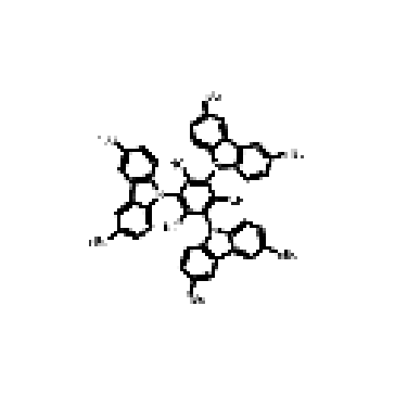 CCCCc1ccc2c(c1)c1cc(CCCC)ccc1n2-c1c(C#N)c(-n2c3ccc(CCCC)cc3c3cc(CCCC)ccc32)c(C#N)c(-n2c3ccc(CCCC)cc3c3cc(CCCC)ccc32)c1C#N